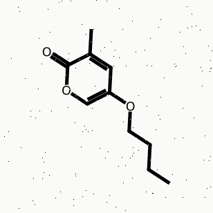 CCCCOc1coc(=O)c(C)c1